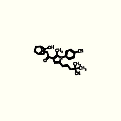 Cc1c(C(=O)CN2C3CCC2[C@@H](O)C3)cc(/C=C/CC(C)(C)C#N)n1-c1ccc(C#N)cc1